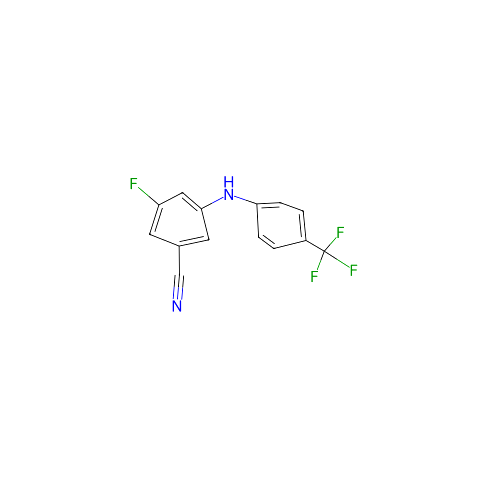 N#Cc1cc(F)cc(Nc2ccc(C(F)(F)F)cc2)c1